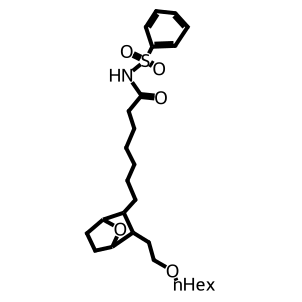 CCCCCCOCCC1C2CCC(O2)C1CCCCCCC(=O)NS(=O)(=O)c1ccccc1